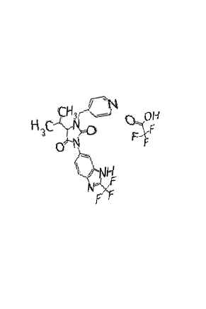 CC(C)C1C(=O)N(c2ccc3nc(C(F)(F)F)[nH]c3c2)C(=O)N1Cc1ccncc1.O=C(O)C(F)(F)F